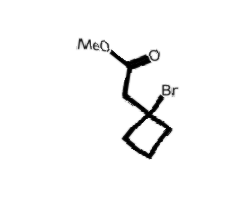 COC(=O)CC1(Br)CCC1